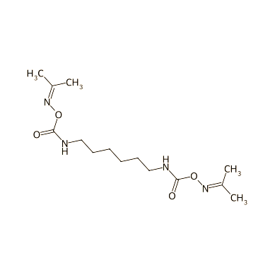 CC(C)=NOC(=O)NCCCCCCNC(=O)ON=C(C)C